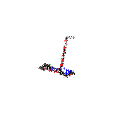 COCCOCCOCCOCCOCCOCCOCCOCCNC(=O)c1cc(NC(=O)[C@H](C)NC(=O)[C@@H](N)C(C)C)ccc1COC(=O)Nc1ccn([C@@H]2O[C@H](CO[Si](C)(C)C(C)(C)C)[C@@H](O[Si](C)(C)C(C)(C)C)C2(F)F)c(=O)n1